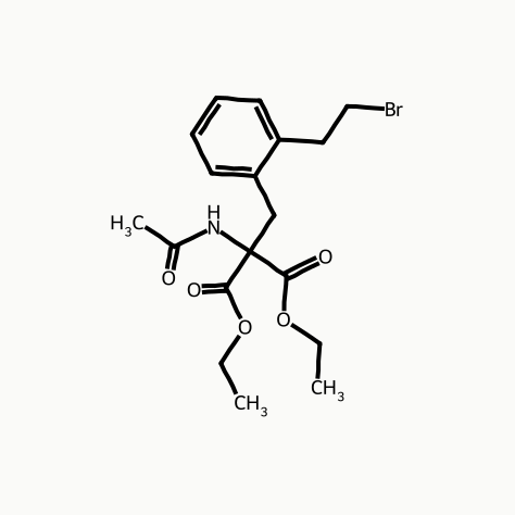 CCOC(=O)C(Cc1ccccc1CCBr)(NC(C)=O)C(=O)OCC